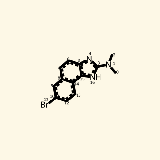 CN(C)c1nc2ccc3cc(Br)ccc3c2[nH]1